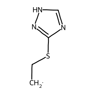 [CH2]CSc1nc[nH]n1